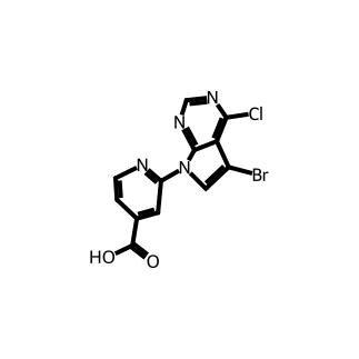 O=C(O)c1ccnc(-n2cc(Br)c3c(Cl)ncnc32)c1